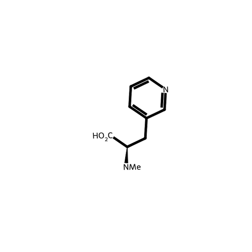 CN[C@H](Cc1cccnc1)C(=O)O